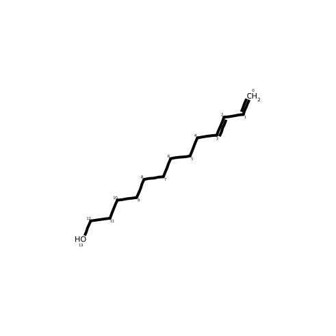 C=CC=CCCCCCCCCCO